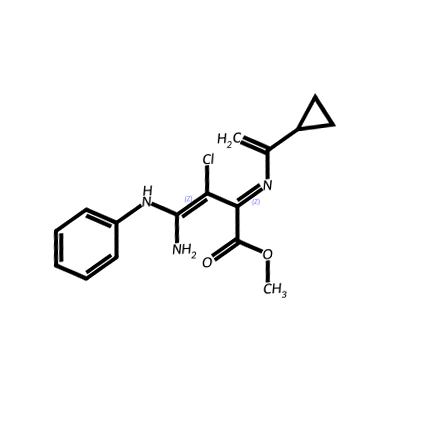 C=C(/N=C(C(=O)OC)\C(Cl)=C(/N)Nc1ccccc1)C1CC1